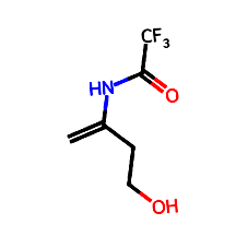 C=C(CCO)NC(=O)C(F)(F)F